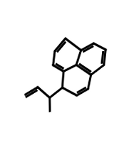 C=CC(C)C1C=Cc2cccc3cccc1c23